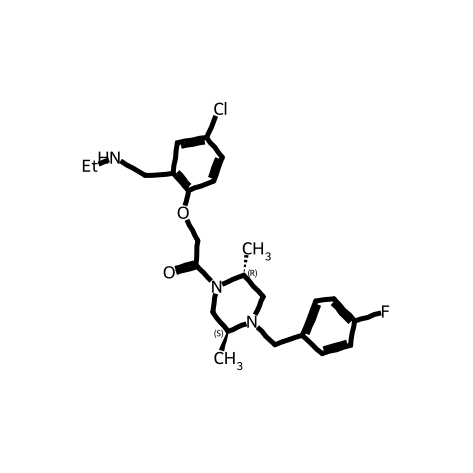 CCNCc1cc(Cl)ccc1OCC(=O)N1C[C@H](C)N(Cc2ccc(F)cc2)C[C@H]1C